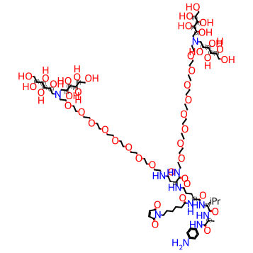 CC(C)[C@H](NC(=O)[C@H](CCC(=O)N[C@@H](CC(=O)NCCOCCOCCOCCOCCOCCOCCOCCOCCN(C[C@H](O)[C@@H](O)[C@H](O)[C@H](O)CO)C[C@H](O)[C@@H](O)[C@H](O)[C@H](O)CO)C(=O)NCCOCCOCCOCCOCCOCCOCCOCCOCCN(C[C@H](O)[C@@H](O)[C@H](O)[C@H](O)CO)C[C@H](O)[C@@H](O)[C@H](O)[C@H](O)CO)NC(=O)CCCCCN1C(=O)C=CC1=O)C(=O)N[C@@H](C)C(=O)Nc1ccc(N)cc1